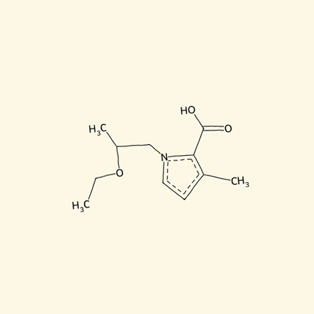 CCOC(C)Cn1ccc(C)c1C(=O)O